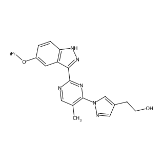 Cc1cnc(-c2n[nH]c3ccc(OC(C)C)cc23)nc1-n1cc(CCO)cn1